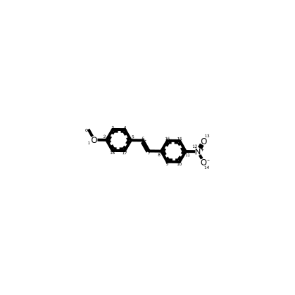 COc1ccc([C]=Cc2ccc([N+](=O)[O-])cc2)cc1